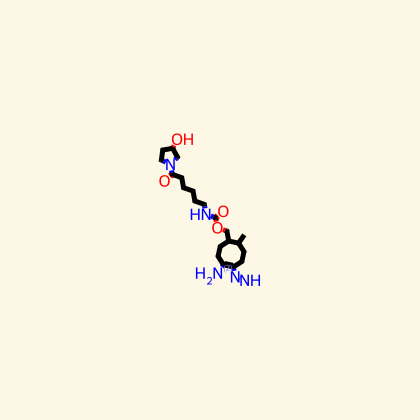 CC1CC/C(N=N)=C(/N)CCC1COC(=O)NCCCCCC(=O)N1CCC(O)C1